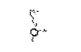 CC(C)(C)c1cc(Cl)ccc1OCCCC(=O)O